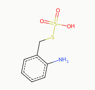 Nc1ccccc1CSS(=O)(=O)O